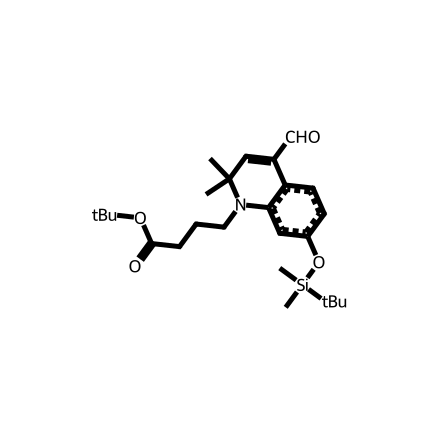 CC(C)(C)OC(=O)CCCN1c2cc(O[Si](C)(C)C(C)(C)C)ccc2C(C=O)=CC1(C)C